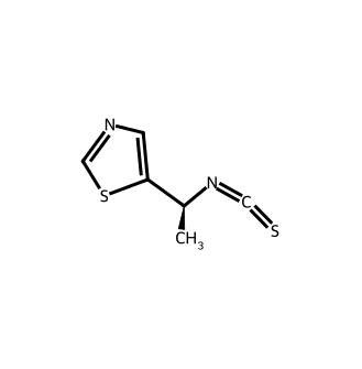 C[C@H](N=C=S)c1cncs1